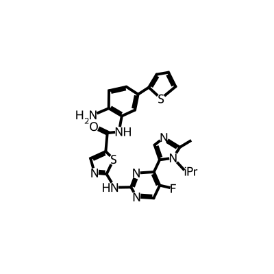 Cc1ncc(-c2nc(Nc3ncc(C(=O)Nc4cc(-c5cccs5)ccc4N)s3)ncc2F)n1C(C)C